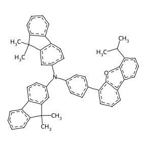 CC(C)c1cccc2c1oc1c(-c3ccc(N(c4ccc5c(c4)C(C)(C)c4ccccc4-5)c4ccc5c(c4)C(C)(C)c4ccccc4-5)cc3)cccc12